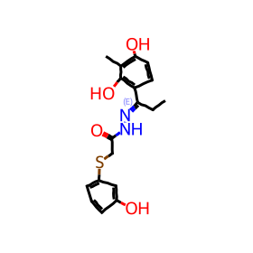 CC/C(=N\NC(=O)CSc1cccc(O)c1)c1ccc(O)c(C)c1O